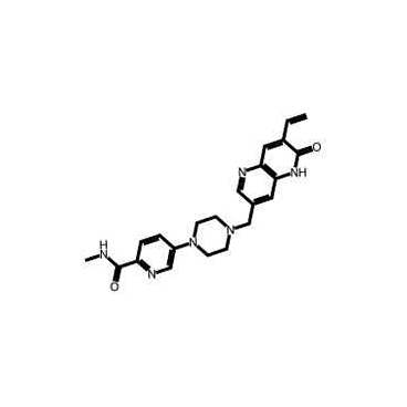 C=Cc1cc2ncc(CN3CCN(c4ccc(C(=O)NC)nc4)CC3)cc2[nH]c1=O